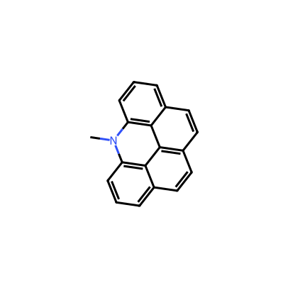 CN1c2cccc3ccc4ccc5cccc1c5c4c23